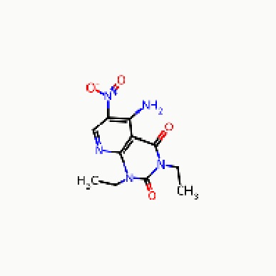 CCn1c(=O)c2c(N)c([N+](=O)[O-])cnc2n(CC)c1=O